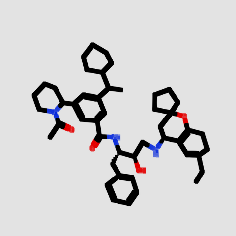 CCC1=CC2=C(CC1)OC1(CCCC1)C[C@@H]2NC[C@@H](O)[C@H](Cc1ccccc1)NC(=O)c1cc(C(C)C2CCCCC2)cc(C2CCCCN2C(C)=O)c1